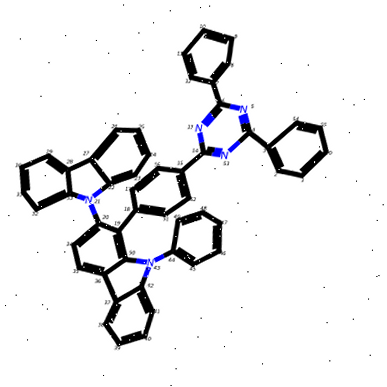 c1ccc(-c2nc(-c3ccccc3)nc(-c3ccc(-c4c(-n5c6ccccc6c6ccccc65)ccc5c6ccccc6n(-c6ccccc6)c45)cc3)n2)cc1